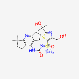 CC(C)(O)c1nc(CO)c([S@](N)(=O)=NC(=O)Nc2c3c(nc4c2CCC4(C)C)CCC3)s1